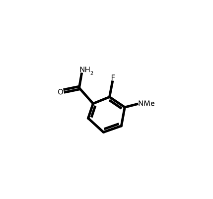 CNc1cccc(C(N)=O)c1F